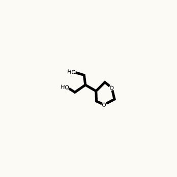 OCC(CO)C1COCOC1